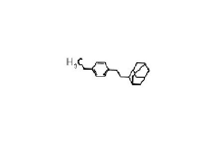 CCc1ccc(CCC2C3CC4CC(C3)CC2C4)cc1